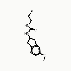 COc1ccc2c(c1)CC(NC(=O)NCCF)C2